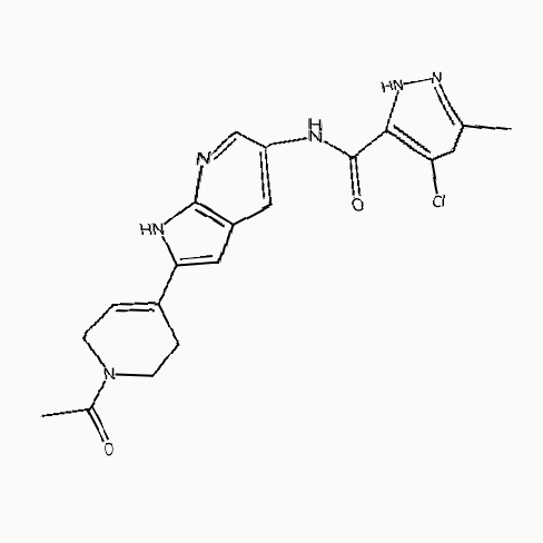 CC(=O)N1CC=C(c2cc3cc(NC(=O)c4[nH]nc(C)c4Cl)cnc3[nH]2)CC1